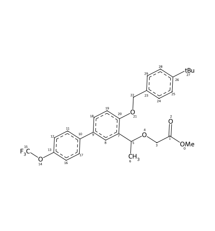 COC(=O)COC(C)c1cc(-c2ccc(OC(F)(F)F)cc2)ccc1OCc1ccc(C(C)(C)C)cc1